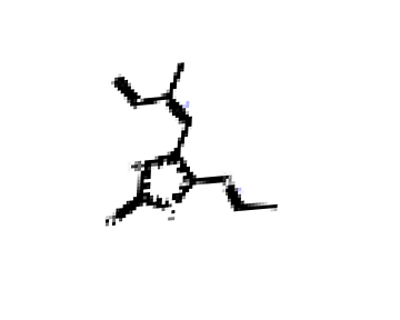 C=C/C(C)=C\c1[nH]c(=O)[nH]c1/N=C/C